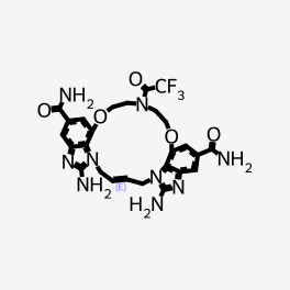 NC(=O)c1cc2c3c(c1)nc(N)n3C/C=C/Cn1c(N)nc3cc(C(N)=O)cc(c31)OCCN(C(=O)C(F)(F)F)CCO2